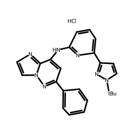 CC(C)(C)n1ccc(-c2cccc(Nc3cc(-c4ccccc4)nn4ccnc34)n2)n1.Cl